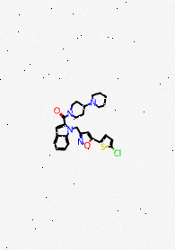 O=C(c1cc2ccccc2n1Cc1cc(-c2ccc(Cl)s2)on1)N1CCC(N2CCCCC2)CC1